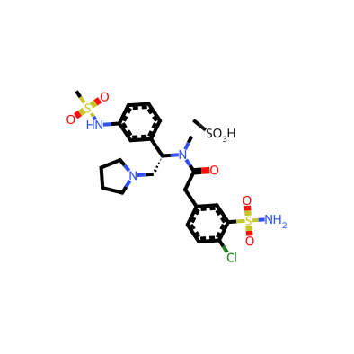 CN(C(=O)Cc1ccc(Cl)c(S(N)(=O)=O)c1)[C@H](CN1CCCC1)c1cccc(NS(C)(=O)=O)c1.CS(=O)(=O)O